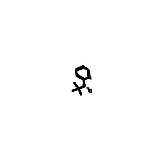 CC(C)(C)[P@@](Cl)c1ccccn1